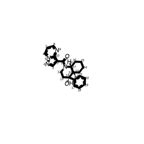 O=C(c1cnn2cccnc12)N1CC[C@](O)(c2ccccc2)[C@H]2CCCC[C@H]21